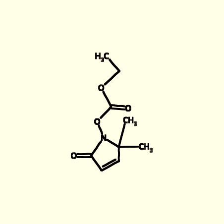 CCOC(=O)ON1C(=O)C=CC1(C)C